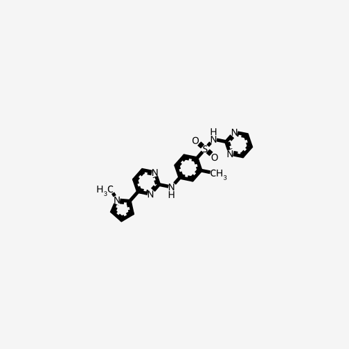 Cc1cc(Nc2nccc(-c3cccn3C)n2)ccc1S(=O)(=O)Nc1ncccn1